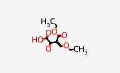 CCOC=C(C(=O)OCC)C(=O)C(=O)O